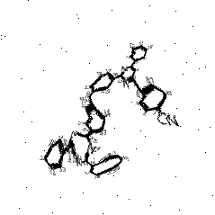 N#Cc1ccc(-c2cc(-c3ccccc3)nc(-c3cccc(-c4ccc(-c5nc(-c6ccccc6)nc(-c6ccccc6)n5)cc4)c3)n2)cc1